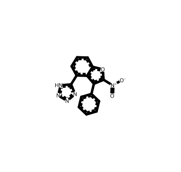 O=[N+]([O-])c1oc2cccc(-c3nnn[nH]3)c2c1-c1ccccc1